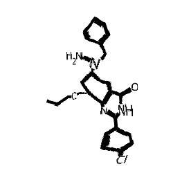 CCCC[C@H]1C[C@@H](N(N)Cc2ccccc2)Cc2c1nc(-c1ccc(Cl)cc1)[nH]c2=O